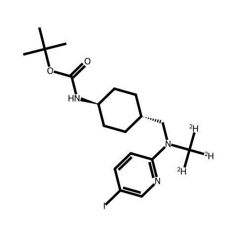 [2H]C([2H])([2H])N(C[C@H]1CC[C@H](NC(=O)OC(C)(C)C)CC1)c1ccc(I)cn1